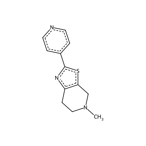 CN1CCc2nc(-c3ccncc3)sc2C1